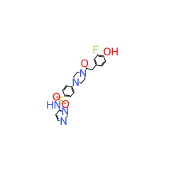 O=C(Cc1ccc(O)c(F)c1)N1CCN(c2ccc(S(=O)(=O)Nc3ccncn3)cc2)CC1